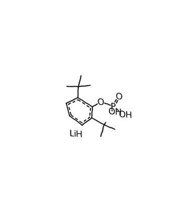 CC(C)(C)c1cccc(C(C)(C)C)c1OP(=O)(O)O.[LiH]